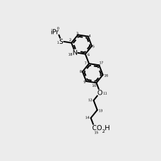 CC(C)Sc1cccc(-c2ccc(OCCCC(=O)O)cc2)n1